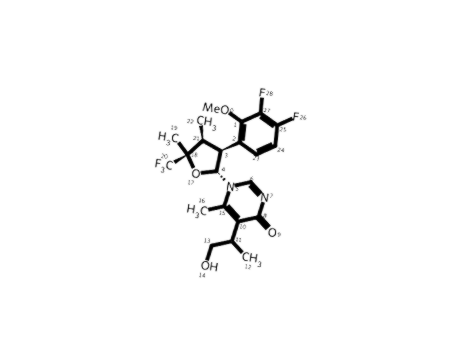 COc1c([C@H]2[C@H](n3cnc(=O)c(C(C)CO)c3C)O[C@@](C)(C(F)(F)F)[C@H]2C)ccc(F)c1F